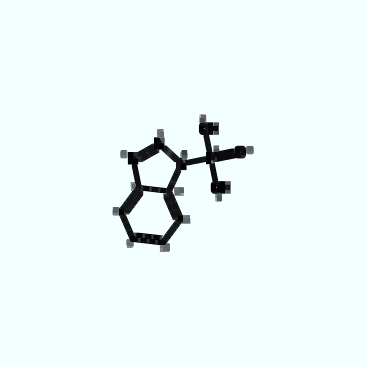 O=P(O)(O)n1nnc2ccccc21